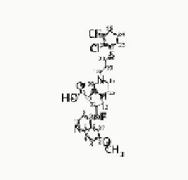 COc1ccc2nccc([C@@H](F)CC[C@@H]3CCN(CCCSc4cccc(Cl)c4Cl)C[C@@H]3CC(=O)O)c2c1